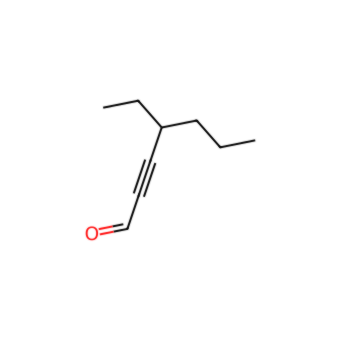 CCCC(C#CC=O)CC